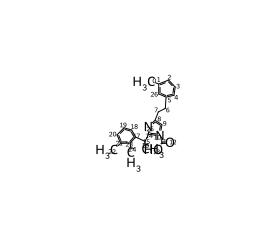 Cc1cccc(CCc2cn(C(=O)O)c([C@@H](C)c3cccc(C)c3C)n2)c1